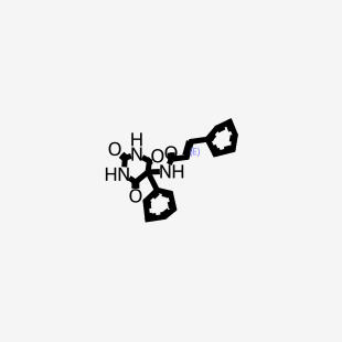 O=C(/C=C/c1ccccc1)NC1(c2ccccc2)C(=O)NC(=O)NC1=O